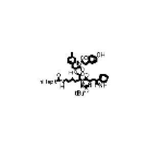 CCCCCCCC(=O)NCCCCC(NC(=O)C(Cc1c[nH]c2ccccc12)NC(=O)OC(C)(C)C)C(=O)NC(Cc1ccc(C)cc1)C(=O)N[C@@H](Cc1ccc(O)cc1)C(=O)O